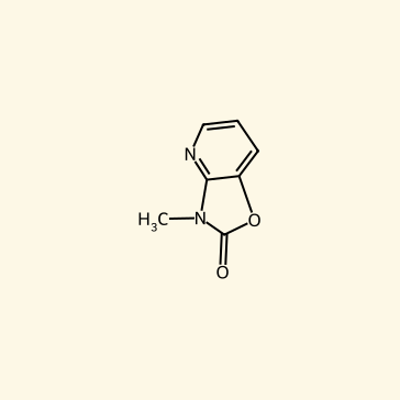 Cn1c(=O)oc2cccnc21